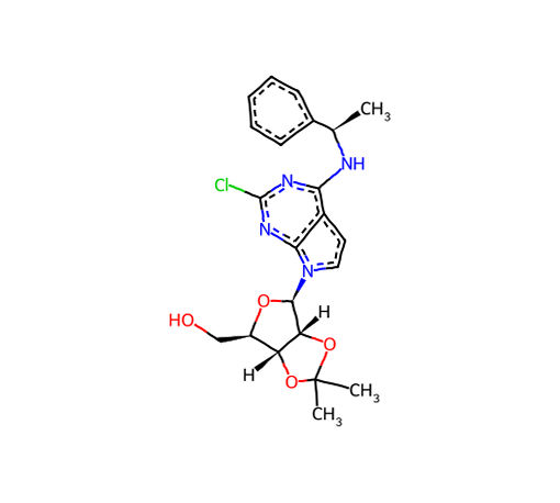 C[C@@H](Nc1nc(Cl)nc2c1ccn2[C@@H]1O[C@H](CO)[C@H]2OC(C)(C)O[C@H]21)c1ccccc1